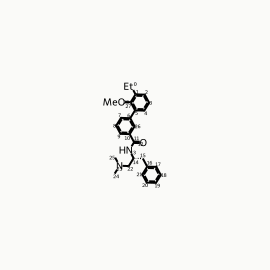 CCc1cccc(-c2cccc(C(=O)N[C@H](Cc3ccccc3)CN(C)C)c2)c1OC